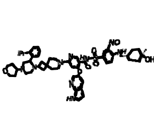 CC(C)c1ccccc1C1CN(C2CCOCC2)CCN1C1CC2(CCN(c3cc(Oc4cnc5[nH]ccc5c4)c(C(=O)NS(=O)(=O)c4ccc(NC[C@H]5CC[C@](C)(O)CC5)c(N=O)c4)cn3)CC2)C1